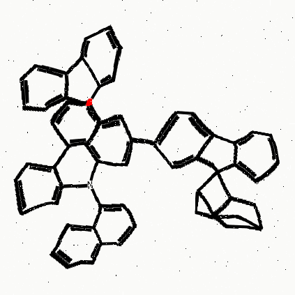 c1ccc(-c2ccccc2N(c2cc(-c3ccc4c(c3)C3(c5ccccc5-4)C4CC5CC(C4)C3C5)cc(-n3c4ccccc4c4ccccc43)c2)c2cccc3ccccc23)cc1